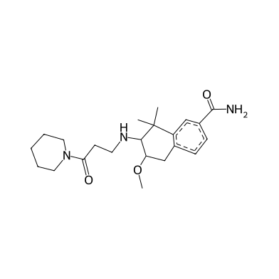 COC1Cc2ccc(C(N)=O)cc2C(C)(C)C1NCCC(=O)N1CCCCC1